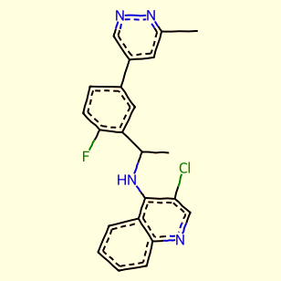 Cc1cc(-c2ccc(F)c(C(C)Nc3c(Cl)cnc4ccccc34)c2)cnn1